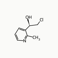 Cc1ncccc1[C@@H](O)CCl